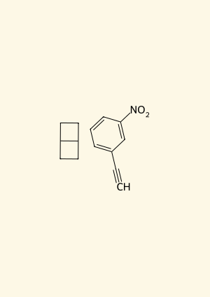 C#Cc1cccc([N+](=O)[O-])c1.C1CC2CCC12